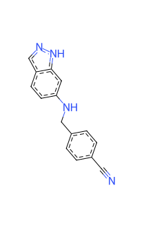 N#Cc1ccc(CNc2ccc3cn[nH]c3c2)cc1